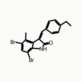 CCc1ccc(C=C2C(=O)Nc3c(Br)cc(Br)c(C)c32)cc1